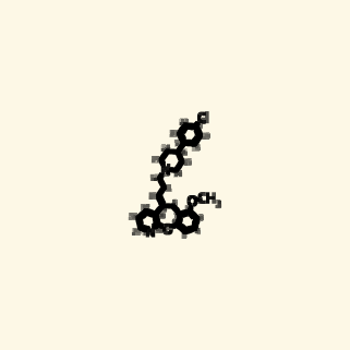 COc1cccc2c1CC(=CCCN1CCC(c3ccc(Cl)cc3)CC1)c1cccnc1O2